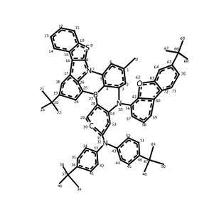 Cc1cc2c3c(c1)-n1c4sc5ccccc5c4c4cc(C(C)(C)C)cc(c41)B3c1ccc(N(c3ccc(C(C)(C)C)cc3)c3ccc(C(C)(C)C)cc3)cc1N2c1cccc2c1oc1cc(C(C)(C)C)ccc12